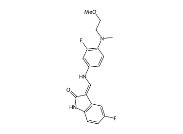 COCCN(C)c1ccc(NC=C2C(=O)Nc3ccc(F)cc32)cc1F